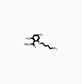 COC(=O)c1c(O)cccc1OCCCCN.Cl